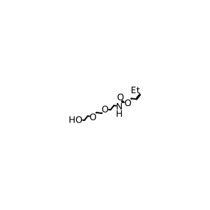 CC/C=C\COC(=O)NCCOCCOCCO